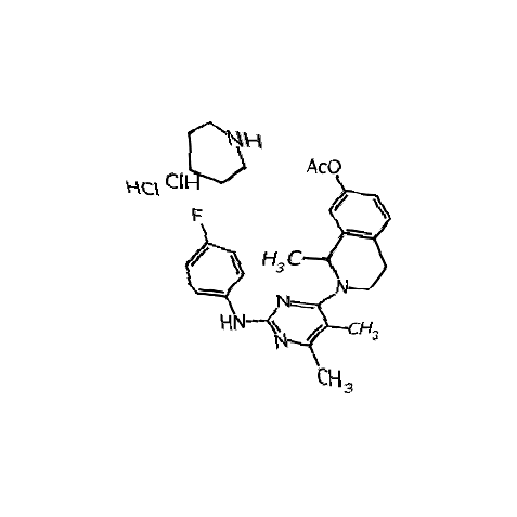 C1CCNCC1.CC(=O)Oc1ccc2c(c1)C(C)N(c1nc(Nc3ccc(F)cc3)nc(C)c1C)CC2.Cl.Cl